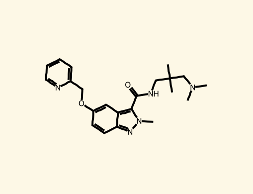 CN(C)CC(C)(C)CNC(=O)c1c2cc(OCc3ccccn3)ccc2nn1C